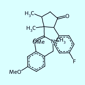 COc1ccc(CN(C)C(=O)C2(C)C(C)CC(=O)C2c2ccc(F)cc2)c(OC)c1